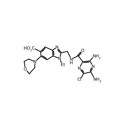 CCn1c(CNC(=O)c2nc(Cl)c(N)nc2N)nc2cc(C(=O)O)c(N3CCOCC3)cc21